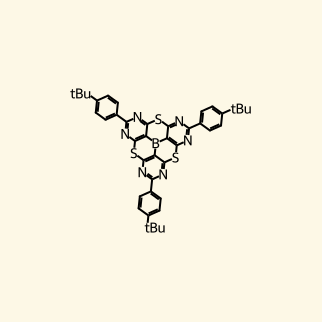 CC(C)(C)c1ccc(-c2nc3c4c(n2)Sc2nc(-c5ccc(C(C)(C)C)cc5)nc5c2B4c2c(nc(-c4ccc(C(C)(C)C)cc4)nc2S5)S3)cc1